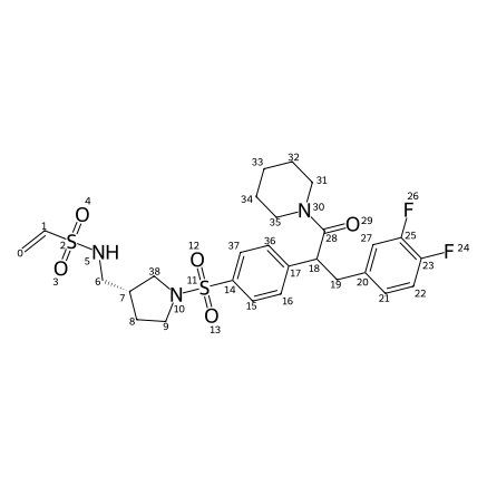 C=CS(=O)(=O)NC[C@H]1CCN(S(=O)(=O)c2ccc(C(Cc3ccc(F)c(F)c3)C(=O)N3CCCCC3)cc2)C1